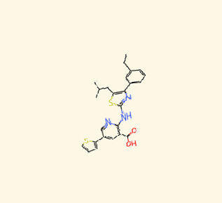 CCc1cccc(-c2nc(Nc3ncc(-c4cccs4)cc3C(=O)O)sc2CC(C)C)c1